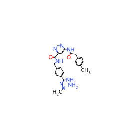 C=N/N=C(\NN)c1ccc(CNC(=O)c2cc(NC(=O)Cc3ccc(C)cc3)ncn2)cc1